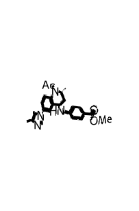 COC(=O)c1ccc(N[C@H]2C[C@@H](C)N(C(C)=O)c3ccc(-n4cnc(C)c4)cc32)cc1